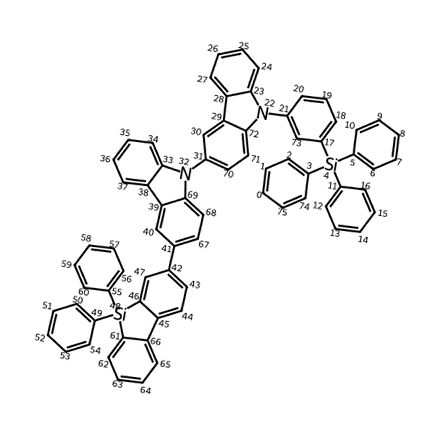 c1ccc([Si](c2ccccc2)(c2ccccc2)c2cccc(-n3c4ccccc4c4cc(-n5c6ccccc6c6cc(-c7ccc8c(c7)[Si](c7ccccc7)(c7ccccc7)c7ccccc7-8)ccc65)ccc43)c2)cc1